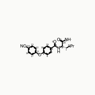 CC(C)C[C@H](NC(=O)c1ccc(Oc2ccc(C#N)cc2)cc1)C([NH])=O